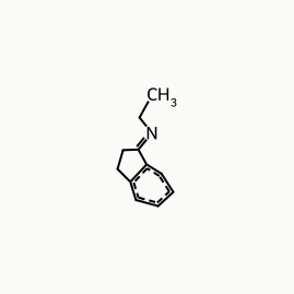 CC/N=C1\CCc2ccccc21